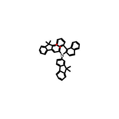 CC1(C)c2ccccc2-c2cc(N(c3ccc4c(c3)C(C)(C)c3ccccc3-4)c3ccc4ccccc4c3-c3ccccc3)ccc21